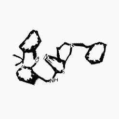 CC(C)(C)c1ccccc1Oc1ncccc1Nc1nc2c(s1)CN(Cc1ccccc1)CC2